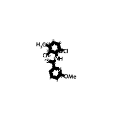 COc1cccc(C(=S)Nc2c(Cl)ccc(C)c2Cl)n1